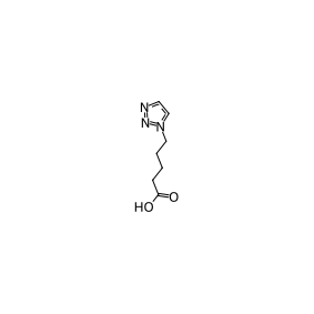 O=C(O)CCCCn1ccnn1